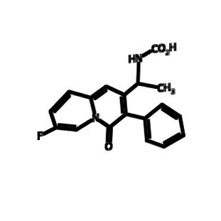 CC(NC(=O)O)c1cc2ccc(F)cn2c(=O)c1-c1ccccc1